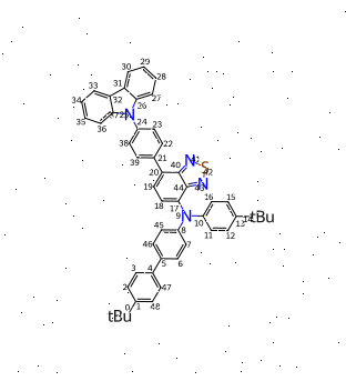 CC(C)(C)c1ccc(-c2ccc(N(c3ccc(C(C)(C)C)cc3)c3ccc(-c4ccc(-n5c6ccccc6c6ccccc65)cc4)c4nsnc34)cc2)cc1